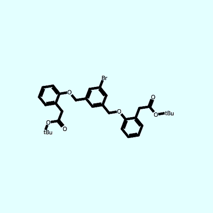 CC(C)(C)OC(=O)Cc1ccccc1OCc1cc(Br)cc(COc2ccccc2CC(=O)OC(C)(C)C)c1